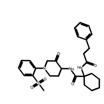 CS(=O)(=O)c1ccccc1N1CCC(NC(=O)C2(NC(=O)CCc3ccccc3)CCCCC2)C(=O)C1